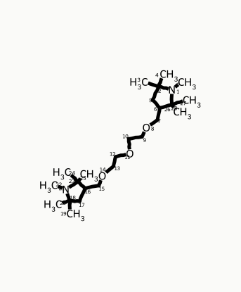 CN1C(C)(C)CC(COCCOCCOCC2CC(C)(C)N(C)C2(C)C)C1(C)C